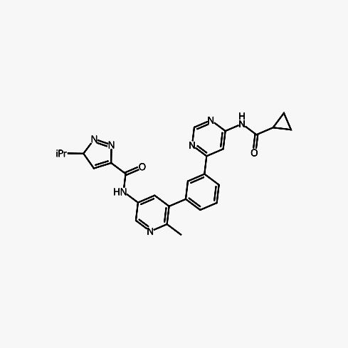 Cc1ncc(NC(=O)C2=CC(C(C)C)N=N2)cc1-c1cccc(-c2cc(NC(=O)C3CC3)ncn2)c1